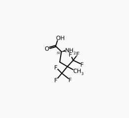 CC(C[C@H](N)C(=O)O)(C(F)(F)F)C(F)(F)F